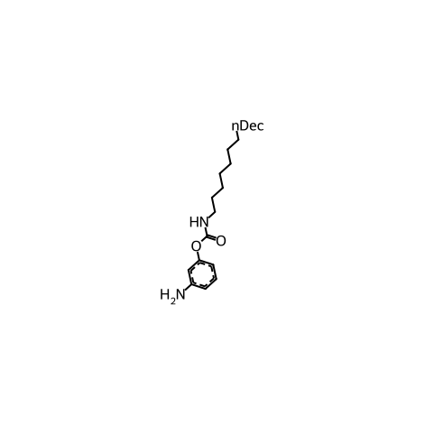 CCCCCCCCCCCCCCCCCNC(=O)Oc1cccc(N)c1